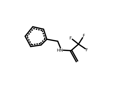 C=C(NCc1ccccc1)C(F)(F)F